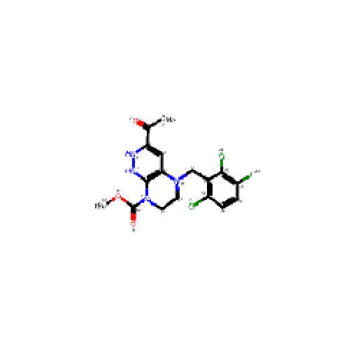 COC(=O)C1=CC2=C(NN1)N(C(=O)OC(C)(C)C)CCN2Cc1c(Cl)ccc(F)c1Cl